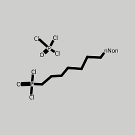 CCCCCCCCCCCCCCCCP(=O)(Cl)Cl.O=P(Cl)(Cl)Cl